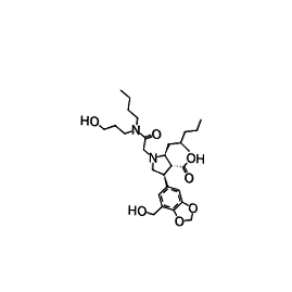 CCCCN(CCCO)C(=O)CN1C[C@H](c2cc(CO)c3c(c2)OCO3)[C@@H](C(=O)O)[C@@H]1CC(C)CCC